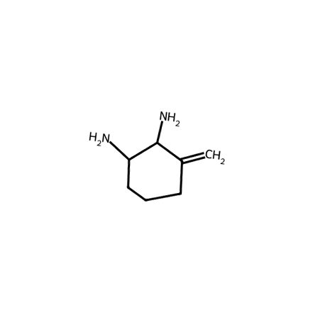 C=C1CCCC(N)C1N